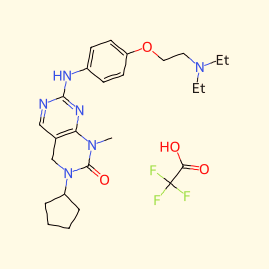 CCN(CC)CCOc1ccc(Nc2ncc3c(n2)N(C)C(=O)N(C2CCCC2)C3)cc1.O=C(O)C(F)(F)F